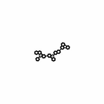 c1ccc(-n2c3ccc(-c4ccc5c(c4)c4ccccc4n5-c4ccc5cc(-c6cc7c8c(cccc8c6)-c6ccccc6-7)ccc5c4)cc3c3ccc4ccccc4c32)cc1